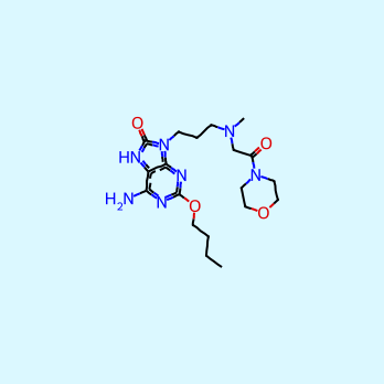 CCCCOc1nc(N)c2[nH]c(=O)n(CCCN(C)CC(=O)N3CCOCC3)c2n1